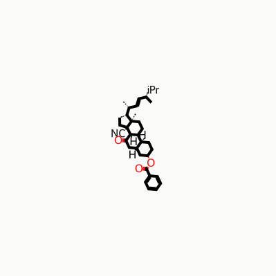 CC(C)[C@H](C)/C=C/[C@@H](C)[C@H]1CC[C@@]2(C#N)[C@@H]3C(=O)C[C@H]4C[C@@H](OC(=O)c5ccccc5)CC[C@]4(C)[C@H]3CC[C@]12C